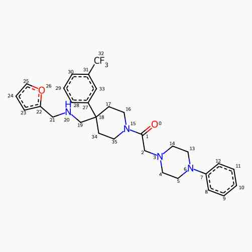 O=C(CN1CCN(c2ccccc2)CC1)N1CCC(CNCc2ccco2)(c2cccc(C(F)(F)F)c2)CC1